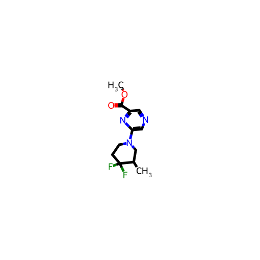 COC(=O)c1cncc(N2CCC(F)(F)C(C)C2)n1